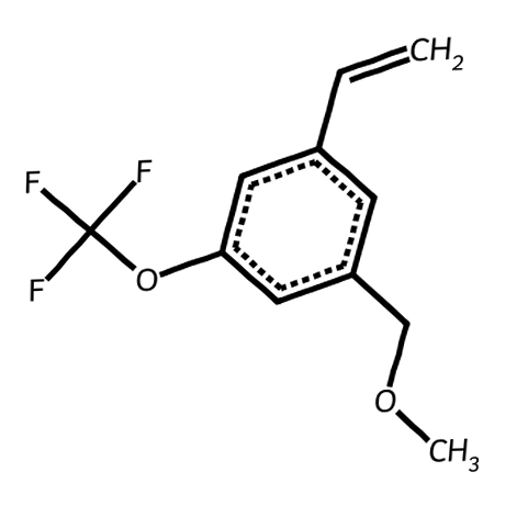 C=Cc1cc(COC)cc(OC(F)(F)F)c1